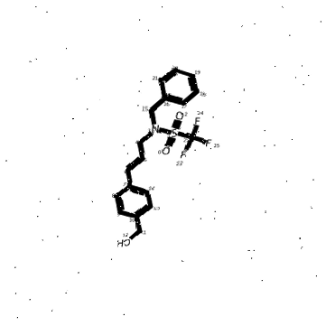 O=S(=O)(N(C/C=C/c1ccc(CO)cc1)Cc1ccccc1)C(F)(F)F